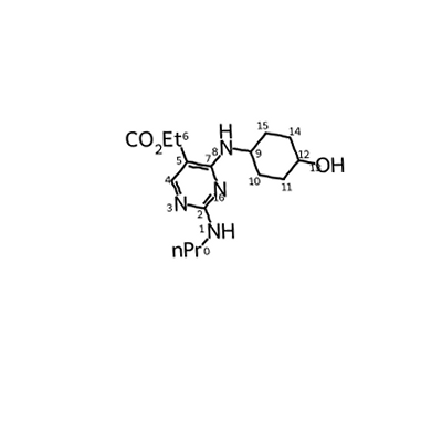 CCCNc1ncc(C(=O)OCC)c(NC2CCC(O)CC2)n1